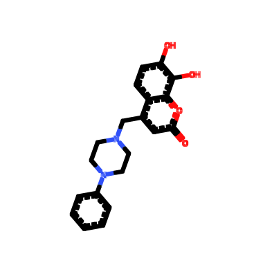 O=c1cc(CN2CCN(c3ccccc3)CC2)c2ccc(O)c(O)c2o1